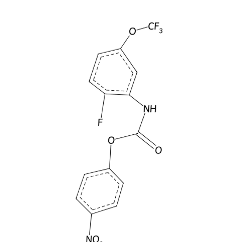 O=C(Nc1cc(OC(F)(F)F)ccc1F)Oc1ccc([N+](=O)[O-])cc1